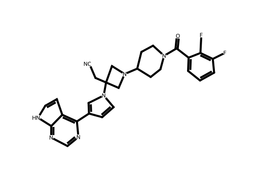 N#CCC1(n2ccc(-c3ncnc4[nH]ccc34)c2)CN(C2CCN(C(=O)c3cccc(F)c3F)CC2)C1